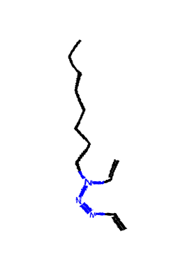 C=C/N=N\N(C=C)CCCCCCCC